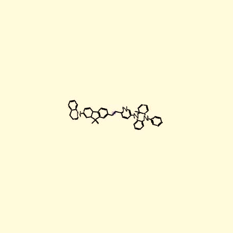 CC1(C)c2cc(/C=C/c3ccc(N4c5ccccc5N(c5ccccc5)C5C=CC=CC54C)cn3)ccc2C2C=CC(N3CCCc4ccccc43)=CC21